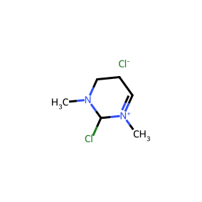 CN1CCC=[N+](C)C1Cl.[Cl-]